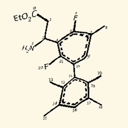 CCOC(=O)CC(N)c1c(F)c(C)cc(-c2c(C)c(C)cc(C)c2C)c1F